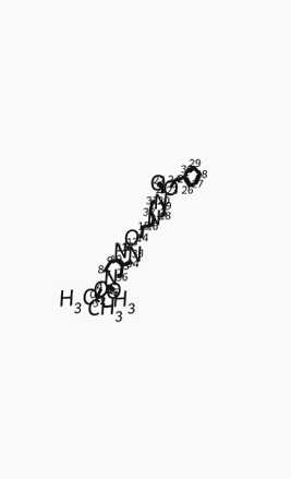 CC(C)(C)OC(=O)N1CCc2nc(OCCCN3CCN(C(=O)OCc4ccccc4)CC3)ncc2C1